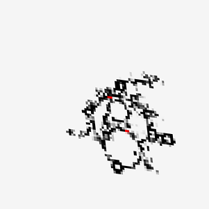 CC(C)C[C@@H]1NC(=O)[C@H](Cc2ccc(NC(=O)CCS(N)(=O)=O)cc2)NC(=O)[C@H](CC(=O)O)NC(=O)[C@H]2CCCN2C(=O)[C@H](CCC(=O)O)NC(=O)[C@@H]2CSCc3cccc(c3)CSC[C@@H](C(N)=O)NC(=O)[C@H](CNC(=O)CC[C@H](NC(=O)CN3CCN(CC(=O)O)CCN(CC(=O)O)CCN(CC(=O)O)CC3)C(=O)N2)NC(=O)[C@H](Cc2c[nH]c3ccccc23)NC(=O)[C@H]([C@@H](C)O)NC1=O